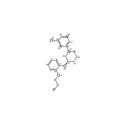 FCCOc1ccccc1O[C@@H]1CCCN(c2cncc(Cl)n2)C1